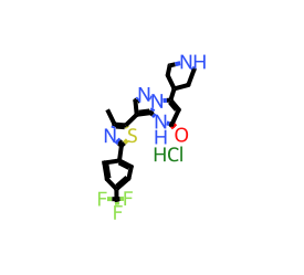 Cc1nc(-c2ccc(C(F)(F)F)cc2)sc1-c1cnn2c(C3CCNCC3)cc(=O)[nH]c12.Cl